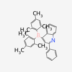 Cc1cc(C)c(B(c2c(C)cc(C)cc2C)c2cc(-c3ccccc3)nc3ccccc23)c(C)c1